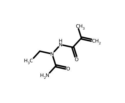 C=C(C)C(=O)NN(CC)C(N)=O